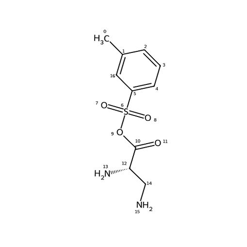 Cc1cccc(S(=O)(=O)OC(=O)[C@@H](N)CN)c1